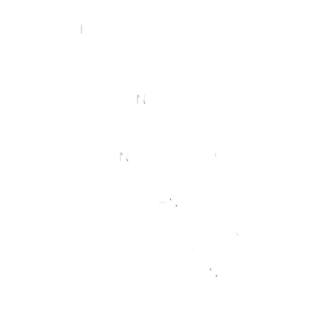 Cc1cc2cnc(C(=O)NC3CC4CNC3C4)cn2c1